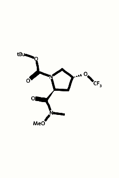 CON(C)C(=O)[C@@H]1C[C@@H](OC(F)(F)F)CN1C(=O)OC(C)(C)C